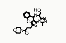 Cc1nnc2n1-c1sc(CCC(=O)N3CCOCC3)cc1C(c1ccccc1Cl)=NC2CO